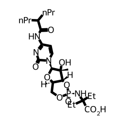 CCCC(CCC)C(=O)Nc1ccn([C@@H]2O[C@@H]3CO[P@@](=O)(NC(CC)(CC)C(=O)O)O[C@H]3[C@@]2(C)O)c(=O)n1